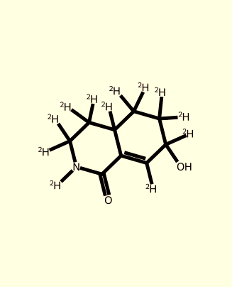 [2H]C1=C2C(=O)N([2H])C([2H])([2H])C([2H])([2H])C2([2H])C([2H])([2H])C([2H])([2H])C1([2H])O